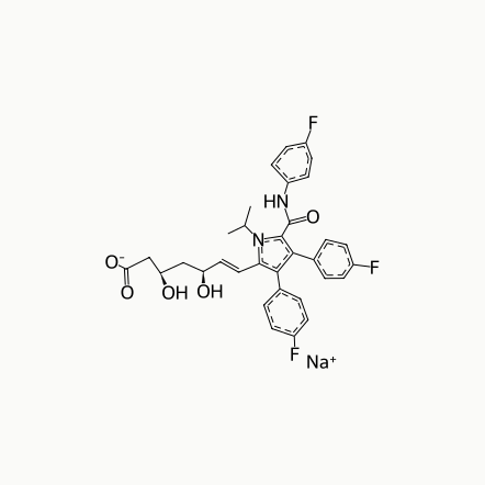 CC(C)n1c(C=C[C@@H](O)C[C@@H](O)CC(=O)[O-])c(-c2ccc(F)cc2)c(-c2ccc(F)cc2)c1C(=O)Nc1ccc(F)cc1.[Na+]